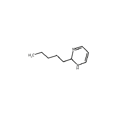 CCCCCC1N=CC=CN1